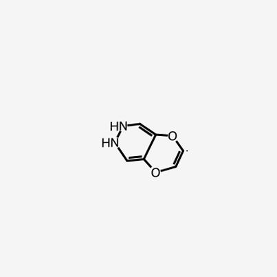 [c]1coc2c[nH][nH]cc-2o1